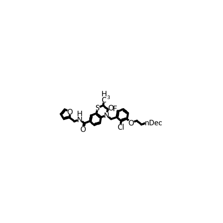 CCCCCCCCCCCCOc1ccc(F)c(CN2C(=O)C(C)Sc3cc(C(=O)NCc4ccco4)ccc32)c1Cl